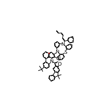 C=C/C=C\C=C(/c1ccccc1)N1c2cccc(c2)N(c2cccc(N(c3ccc(C(C)(C)C)cc3-c3ccccc3)c3coc4cc5c(cc34)-c3ccccc3C5(C)C)c2Cl)c2ccccc2Sc2ccccc21